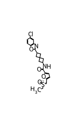 CC[S+]([O-])Cc1ccc(C(=O)NC2CC3(C2)CC(c2nc4cc(Cl)ccc4o2)C3)o1